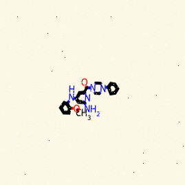 COc1ccccc1Nc1cc(N)nc(C(=O)N2CCN(c3ccccc3)CC2)c1